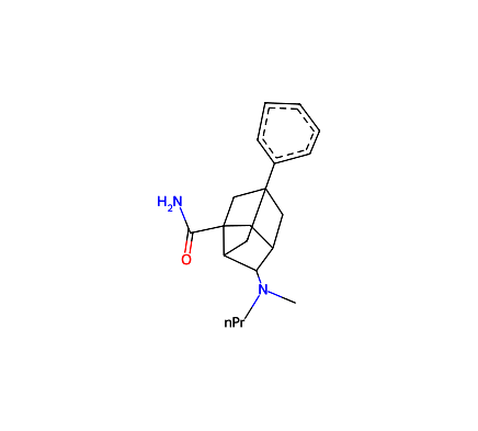 CCCN(C)C1C2CC3(c4ccccc4)CC1C(C(N)=O)(C2)C3